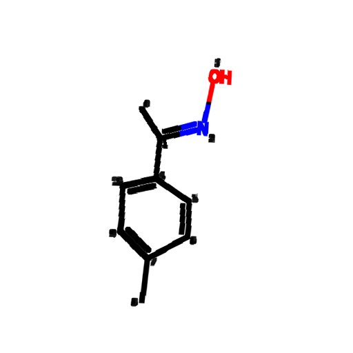 C/C(=N\O)c1ccc(C)cc1